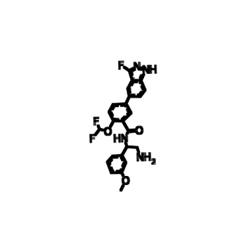 COc1cccc(C(CN)NC(=O)c2cc(-c3ccc4[nH]nc(F)c4c3)ccc2OC(F)F)c1